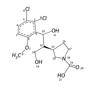 COc1ccc(Cl)c(Cl)c1C(O)C(CO)[C@H]1CCN(C(=O)O)C1